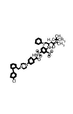 CN(C(=O)C[C@H](CSc1ccccc1)Nc1ccc(S(=O)(=O)NC(=O)c2ccc(N3CCN(Cc4ccccc4-c4ccc(Cl)cc4)CC3)cc2)cc1[N+](=O)[O-])C(C)(C)C